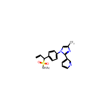 C=CC(c1ccc(-n2cc(C(F)(F)F)nc2-c2cccnc2)cc1)S(=O)(=O)NC(C)=O